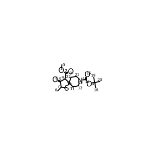 COC(=O)C1C(=O)C(C)SC12CCN(C(=O)OC(C)(C)C)CC2